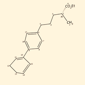 CCOC(=O)[C@H](C)CCCc1ccc(C2=CCCC=C2)cc1